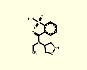 NS(=O)(=O)c1ccccc1C(=O)N(CC(F)(F)F)C1CNOC1